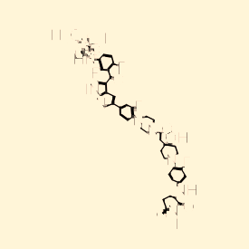 CCN(C)S(=O)(=O)Nc1ccc(F)c(C(=O)c2c[nH]c3ncc(-c4ccc(N5CCN(C(=O)CC6(O)CCN(c7ccc(NC8CCC(=O)NC8=O)cc7F)CC6)CC5)c(F)c4)cc23)c1F